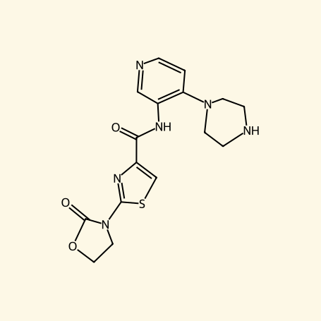 O=C(Nc1cnccc1N1CCNCC1)c1csc(N2CCOC2=O)n1